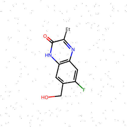 CCc1nc2cc(F)c(CO)cc2[nH]c1=O